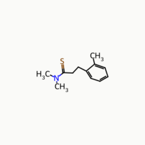 Cc1ccccc1CCC(=S)N(C)C